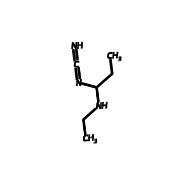 CCNC(CC)N=C=N